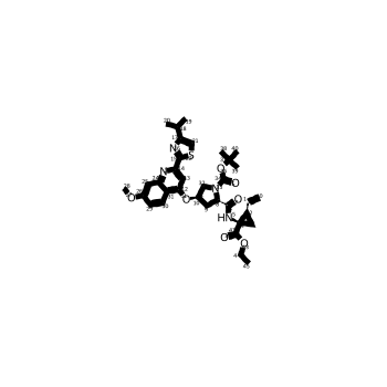 C=C[C@@H]1C[C@]1(NC(=O)[C@@H]1C[C@@H](Oc2cc(-c3nc(C(C)C)cs3)nc3cc(OC)ccc23)CN1C(=O)OC(C)(C)C)C(=O)OCC